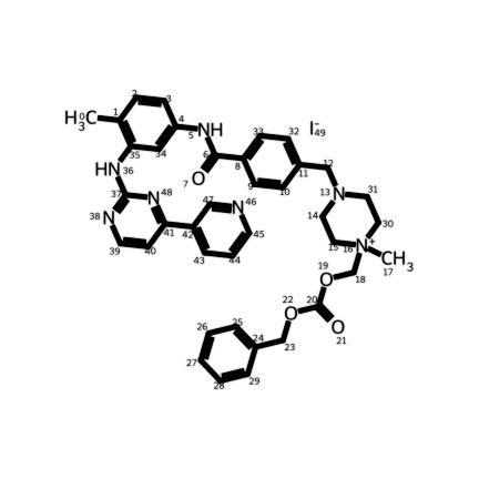 Cc1ccc(NC(=O)c2ccc(CN3CC[N+](C)(COC(=O)OCc4ccccc4)CC3)cc2)cc1Nc1nccc(-c2cccnc2)n1.[I-]